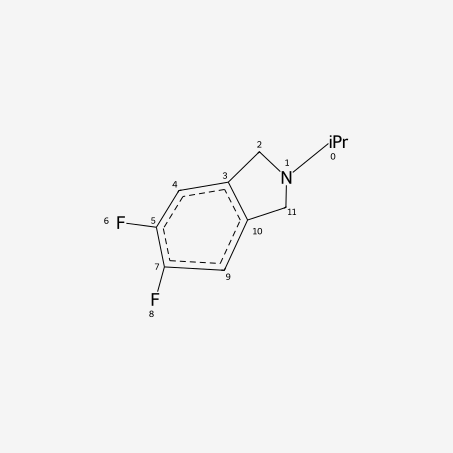 CC(C)N1Cc2cc(F)c(F)cc2C1